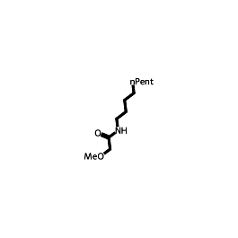 CCCCCCCCCNC(=O)COC